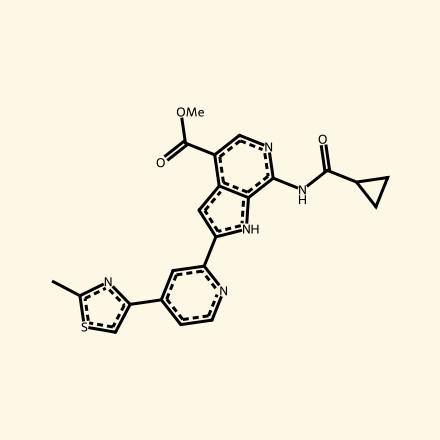 COC(=O)c1cnc(NC(=O)C2CC2)c2[nH]c(-c3cc(-c4csc(C)n4)ccn3)cc12